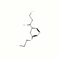 NCCC(O)C1C=CC=C(OCCO)C1